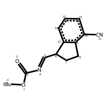 CC(C)(C)OC(=O)/N=C/C1CCc2c(C#N)cccc21